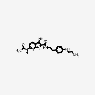 CC(=O)Nc1ccc2c(N)c(C(=O)NCCc3ccc(NCCN)cc3)sc2n1